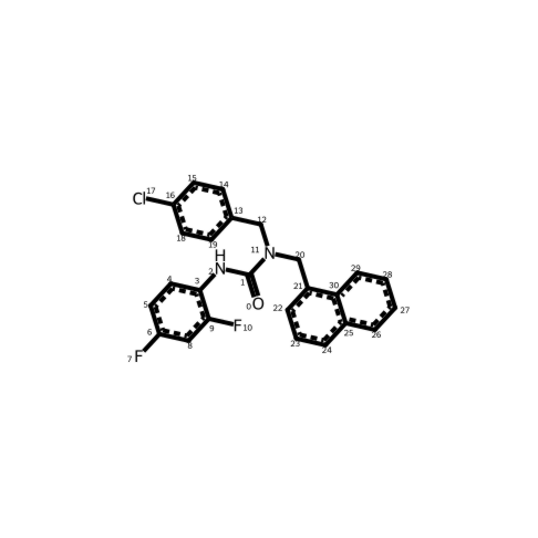 O=C(Nc1ccc(F)cc1F)N(Cc1ccc(Cl)cc1)Cc1cccc2ccccc12